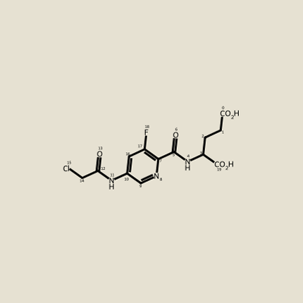 O=C(O)CCC(NC(=O)c1ncc(NC(=O)CCl)cc1F)C(=O)O